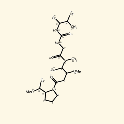 CCC(C)C(C(CC(=O)N1CCCC1C(OC)C(C)C)OC)N(C)C(=O)CNC(=O)NC(CC)C(C)C(C)C